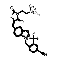 CN(C)CCN1C(=O)SC(=Cc2ccc3c(ccn3Cc3ccc(C#N)cc3C(F)(F)F)c2)C1=O